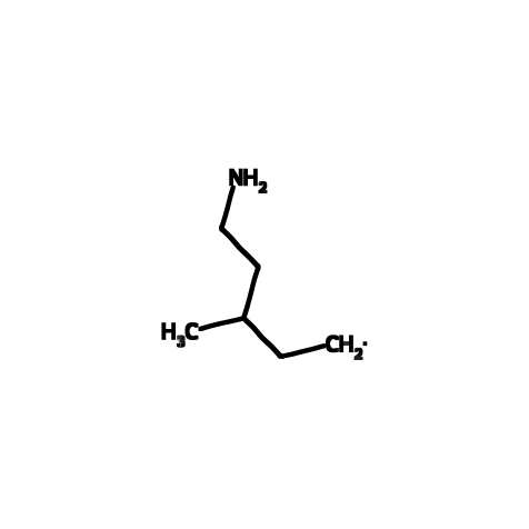 [CH2]CC(C)CCN